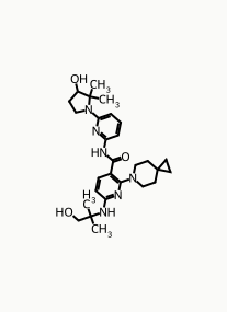 CC(C)(CO)Nc1ccc(C(=O)Nc2cccc(N3CCC(O)C3(C)C)n2)c(N2CCC3(CC2)CC3)n1